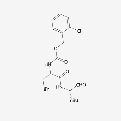 CCCC[C@@H](C=O)NC(=O)[C@H](CC(C)C)NC(=O)OCc1ccccc1Cl